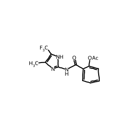 CC(=O)Oc1ccccc1C(=O)Nc1nc(C)c(C(F)(F)F)[nH]1